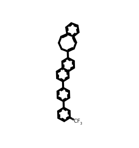 FC(F)(F)c1cccc(-c2ccc(-c3ccc4cc(/C5=C/C=c6/cccc/c6=C/CC5)ccc4c3)cc2)c1